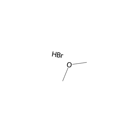 Br.COC